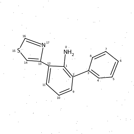 Nc1c(-c2ccccc2)cccc1-c1cscn1